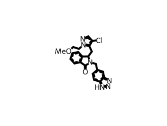 COCCn1ncc(Cl)c1CC1c2ccccc2C(=O)N1Cc1ccc2[nH]nnc2c1